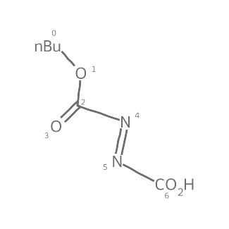 CCCCOC(=O)/N=N/C(=O)O